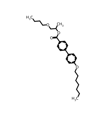 CCCCCCCOc1ccc(-c2ccc(C(=O)OC(C)COCCCC)cc2)cc1